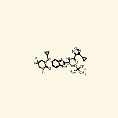 CC(C)(OC[C@H](NC(=O)c1nonc1C1CC1)c1nc2cc([C@@H](C3CC3)N3CC(F)(F)CNC3=O)ccc2[nH]1)C(F)(F)F